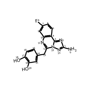 Nc1nc2c3ccc(F)cc3nc(Cc3ccc(O)c(O)c3)n2n1